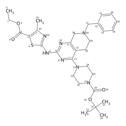 CCOC(=O)c1sc(Nc2nc3c(c(N4CCN(C(=O)OC(C)(C)C)CC4)n2)CCN(Cc2ccccc2)C3)nc1C